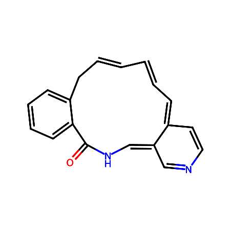 O=C1N\C=c2/cncc/c2=C/C=C/C=C/Cc2ccccc21